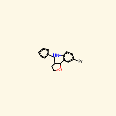 CC(C)c1ccc2c(c1)C1OCCC1C(c1ccccc1)N2